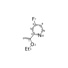 C=C(OCC)c1cc(F)ccn1